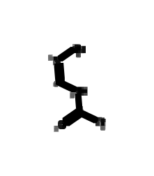 CCC(=O)N/C=N\C(C)CC